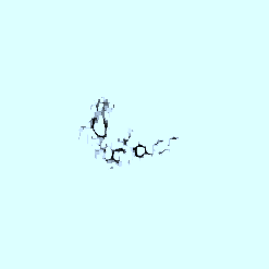 CCN1CCN(Cc2ccc(-n3cc(-c4nc(N[C@H]5CCN(S(C)(=O)=O)C[C@H]5F)ncc4C(F)(F)F)nc3C)c(F)c2)CC1